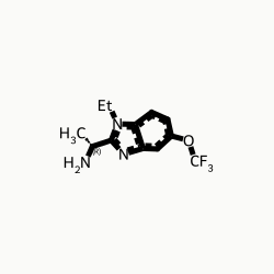 CCn1c([C@@H](C)N)nc2cc(OC(F)(F)F)ccc21